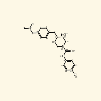 CN(C)Cc1ccc(CC2CCN(C(=O)Oc3ccc(Cl)cc3)CC2)cc1.Cl